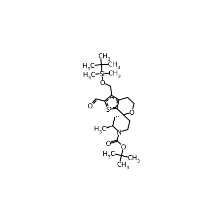 C[C@H]1C[C@@]2(CCN1C(=O)OC(C)(C)C)OCCc1c2sc(C=O)c1CO[Si](C)(C)C(C)(C)C